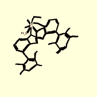 C[CH2][Hf]([CH3])([CH3])(=[SiH2])([CH2]C)([CH]1C=Cc2c(-c3c(C)c(C)cc(C)c3C)cccc21)[CH]1C=Cc2c(-c3c(C)c(C)cc(C)c3C)cccc21